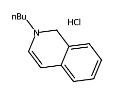 CCCCN1C=Cc2ccccc2C1.Cl